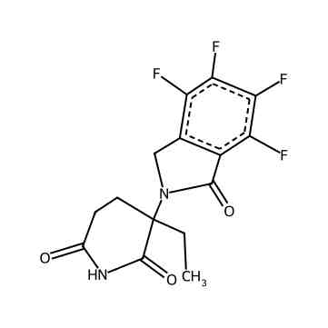 CCC1(N2Cc3c(F)c(F)c(F)c(F)c3C2=O)CCC(=O)NC1=O